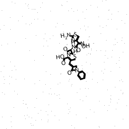 Nc1nc(/C(=N/O)C(=O)N[C@@H]2C(=O)N3C(C(=O)O)=C(C=C4CN(c5ccccc5)C4=O)CS[C@H]23)cs1